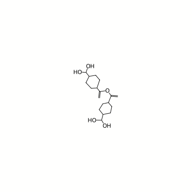 C=C(OC(=C)C1CCC(C(O)O)CC1)C1CCC(C(O)O)CC1